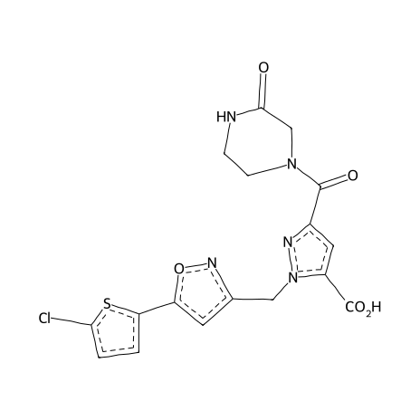 O=C1CN(C(=O)c2cc(C(=O)O)n(Cc3cc(-c4ccc(Cl)s4)on3)n2)CCN1